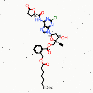 C#C[C@]1(COC(=O)c2ccccc2COC(=O)CCCCCCCCCCCCCCC)O[C@@H](n2cnc3c(NC(=O)[C@H]4CCC(=O)O4)nc(Cl)nc32)C[C@@H]1O